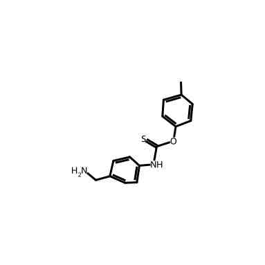 Cc1ccc(OC(=S)Nc2ccc(CN)cc2)cc1